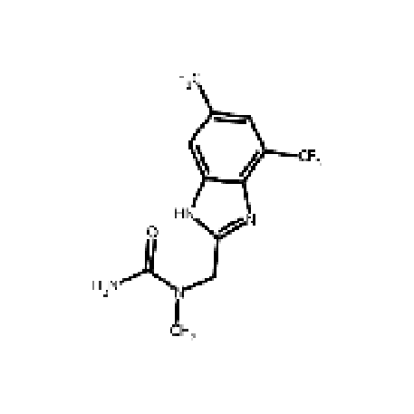 CN(Cc1nc2c(C(F)(F)F)cc(C(F)(F)F)cc2[nH]1)C(N)=O